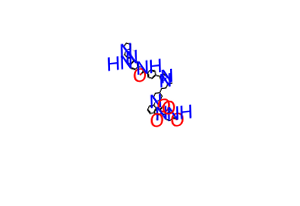 CC(CCC1CCN(c2cccc3c2C(=O)N(C2CCC(=O)NC2=O)C3=O)CC1)n1cc(-c2ccc(C(=O)Nc3ccc4[nH]c(CN5CCC[C@@H]5C)nc4c3)cc2)cn1